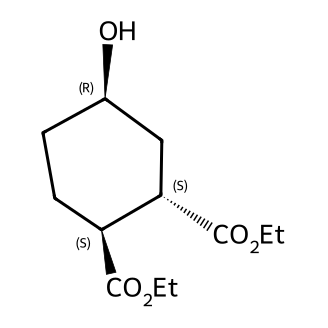 CCOC(=O)[C@H]1CC[C@@H](O)C[C@@H]1C(=O)OCC